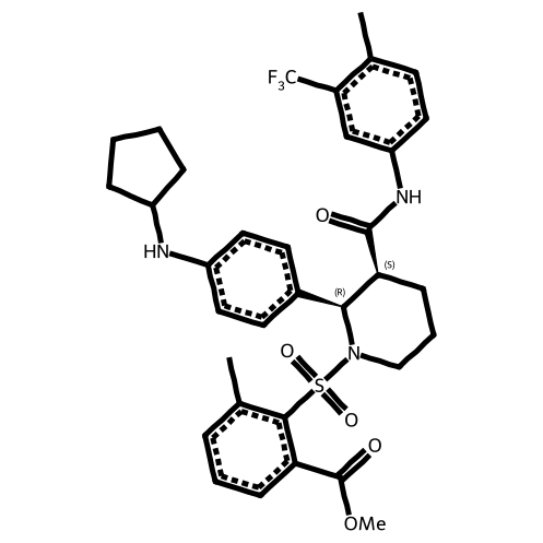 COC(=O)c1cccc(C)c1S(=O)(=O)N1CCC[C@H](C(=O)Nc2ccc(C)c(C(F)(F)F)c2)[C@@H]1c1ccc(NC2CCCC2)cc1